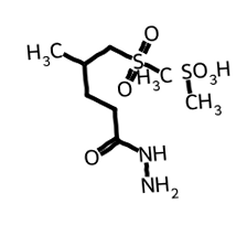 CC(CCC(=O)NN)CS(C)(=O)=O.CS(=O)(=O)O